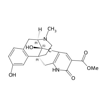 COC(=O)c1cc2c([nH]c1=O)C[C@]13CCN(C)[C@H](Cc4ccc(O)cc41)[C@]3(O)C2